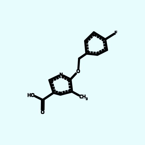 Cc1cc(C(=O)O)cnc1OCc1ccc(F)cc1